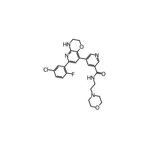 O=C(NCCN1CCOCC1)c1cncc(-c2cc(-c3cc(Cl)ccc3F)nc3c2OCCN3)c1